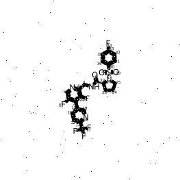 O=C(NCc1ncc(F)c(-c2ccc(C(F)(F)F)nc2)c1F)[C@@H]1CCCN1S(=O)(=O)c1ccc(F)cc1